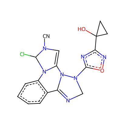 N#CN1C=C2N(c3ccccc3C3=NCN(c4nc(C5(O)CC5)no4)N23)C1Cl